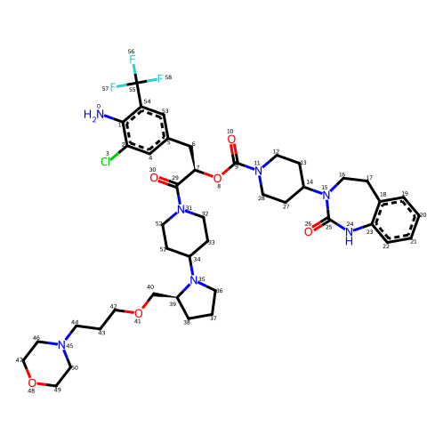 Nc1c(Cl)cc(C[C@@H](OC(=O)N2CCC(N3CCc4ccccc4NC3=O)CC2)C(=O)N2CCC(N3CCC[C@H]3COCCCN3CCOCC3)CC2)cc1C(F)(F)F